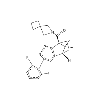 CC1(C)[C@@H]2CC[C@@]1(C(=O)N1CC3(CCC3)C1)c1nnc(-c3c(F)cccc3F)cc12